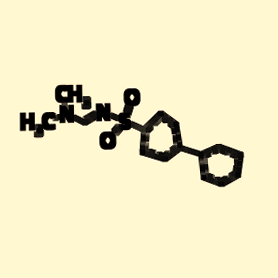 CN(C)/C=N/S(=O)(=O)c1ccc(-c2ccccc2)cc1